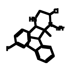 CCCN1C(Cl)CNC(c2ccc(F)cc2)C1(C)C1CCc2ccccc21